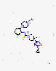 CC(C)N1CCN(C2CCCC(F)(F)[C@@H]2NC(=S)N2CCC(C)(c3noc(C4CC4)n3)CC2)CC1